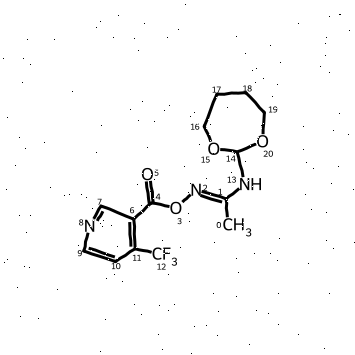 CC(=NOC(=O)c1cnccc1C(F)(F)F)NC1OCCCCO1